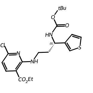 CCOC(=O)c1ccc(Cl)nc1NCC[C@H](NC(=O)OC(C)(C)C)c1ccsc1